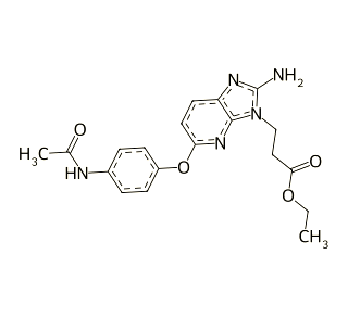 CCOC(=O)CCn1c(N)nc2ccc(Oc3ccc(NC(C)=O)cc3)nc21